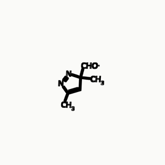 CC1=CC(C)([C]=O)N=N1